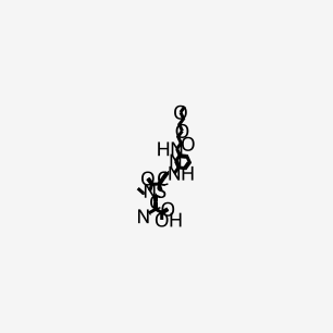 CCn1c(=C=C(C#N)C(=O)O)sc(=C=CNc2cccc(NC(=O)COCCOC)n2)c1=O